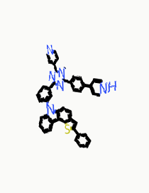 CN1C(c2ccc(C3=CCNC=C3)cc2)=NC(c2cccc(-n3c4ccccc4c4c5sc(-c6ccccc6)cc5ccc43)c2)=NC1c1ccncc1